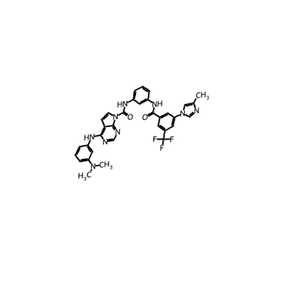 Cc1cn(-c2cc(C(=O)Nc3cccc(NC(=O)n4ccc5c(Nc6cccc(N(C)C)c6)ncnc54)c3)cc(C(F)(F)F)c2)cn1